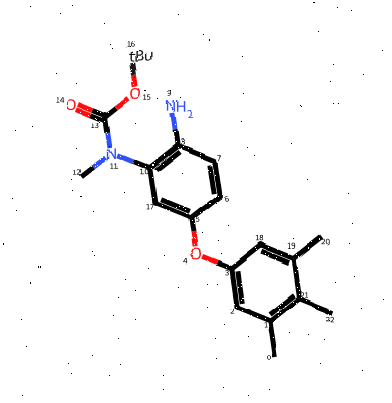 Cc1cc(Oc2ccc(N)c(N(C)C(=O)OC(C)(C)C)c2)cc(C)c1C